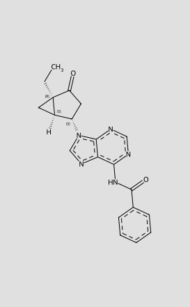 CC[C@@]12C[C@@H]1[C@@H](n1cnc3c(NC(=O)c4ccccc4)ncnc31)CC2=O